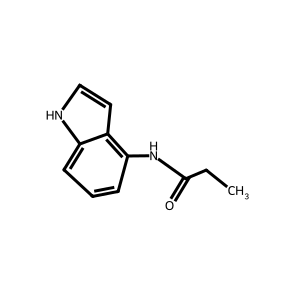 CCC(=O)Nc1cccc2[nH]ccc12